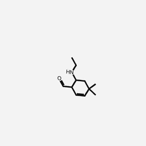 CCNC1CC(C)(C)C=CC1C=O